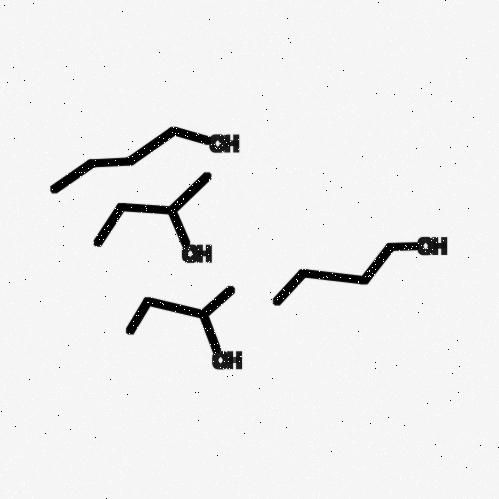 CCC(C)O.CCC(C)O.CCCCO.CCCCO